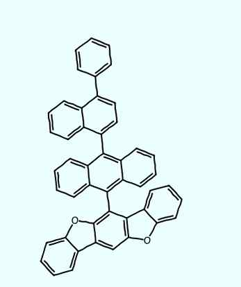 c1ccc(-c2ccc(-c3c4ccccc4c(-c4c5oc6ccccc6c5cc5oc6ccccc6c45)c4ccccc34)c3ccccc23)cc1